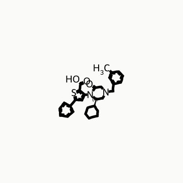 Cc1cccc(CN2CC(=O)N(c3cc(-c4ccccc4)sc3C(=O)O)[C@H](C3CCCCC3)C2)c1